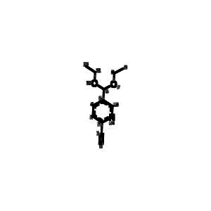 C#Cc1ccc(C(OCC)OCC)cn1